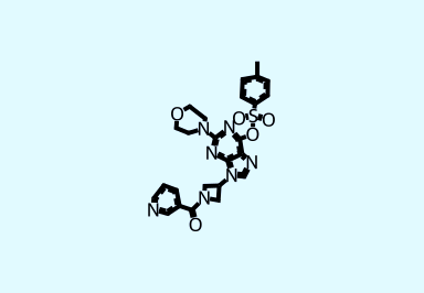 Cc1ccc(S(=O)(=O)Oc2nc(N3CCOCC3)nc3c2ncn3C2CN(C(=O)c3cccnc3)C2)cc1